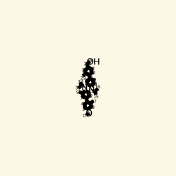 COc1ccc(-c2cc(C)c3c(c2)N(C(C)C)c2ccc(-c4ccc(CO)cc4C)cc2N3C(C)C)c(C)c1